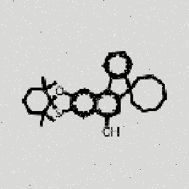 CC1(C)CCCC(C)(C)C12Oc1cc3c4c(cc(O)c3cc1S2)C1(CCCCCCC1)c1ccccc1-4